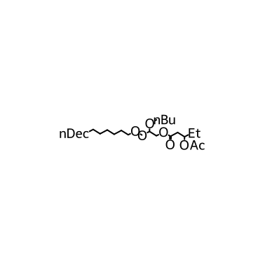 CCCCCCCCCCCCCCCCOOC(COC(=O)CC(CC)OC(C)=O)OCCCC